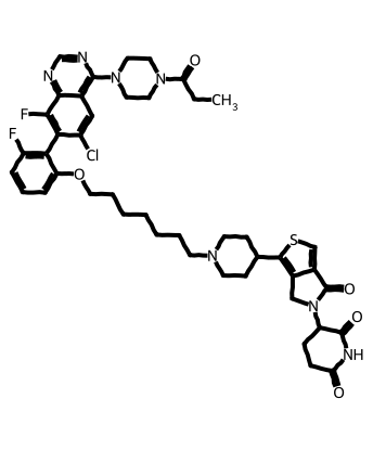 CCC(=O)N1CCN(c2ncnc3c(F)c(-c4c(F)cccc4OCCCCCCCN4CCC(c5scc6c5CN(C5CCC(=O)NC5=O)C6=O)CC4)c(Cl)cc23)CC1